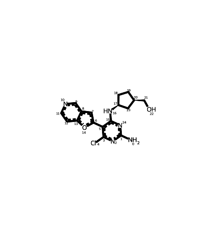 Nc1nc(Cl)c(-c2cc3cnccc3o2)c(N[C@H]2CC[C@@H](CO)C2)n1